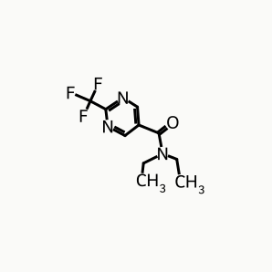 CCN(CC)C(=O)c1cnc(C(F)(F)F)nc1